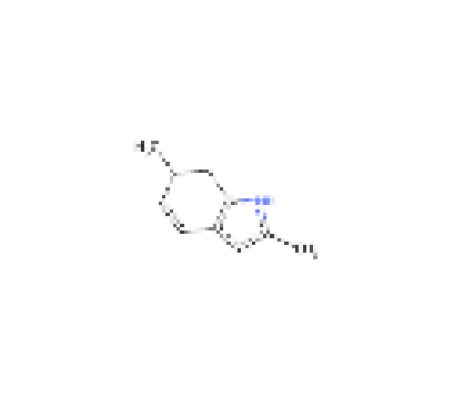 Cc1cc2c([nH]1)CC(C)C=C2